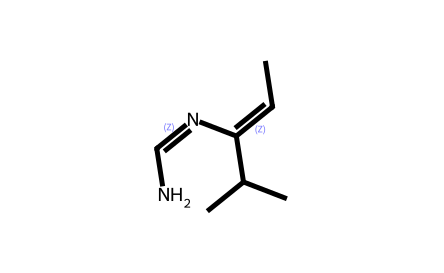 C/C=C(\N=C/N)C(C)C